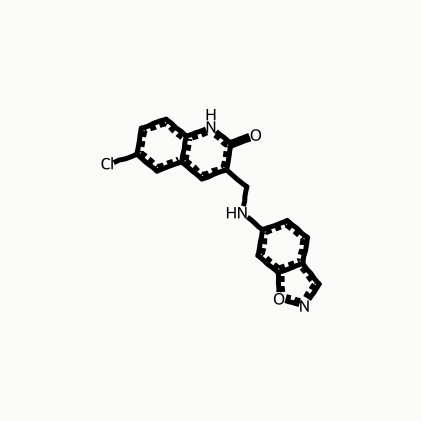 O=c1[nH]c2ccc(Cl)cc2cc1CNc1ccc2cnoc2c1